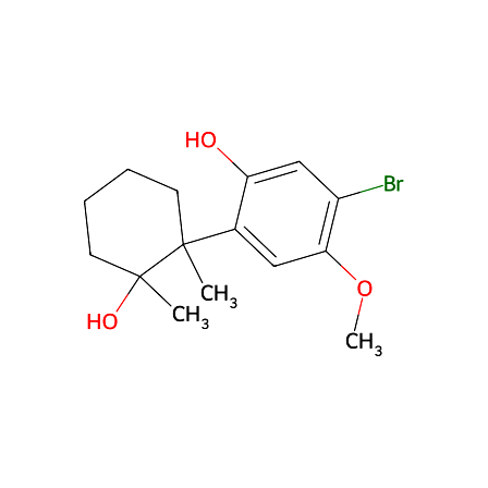 COc1cc(C2(C)CCCCC2(C)O)c(O)cc1Br